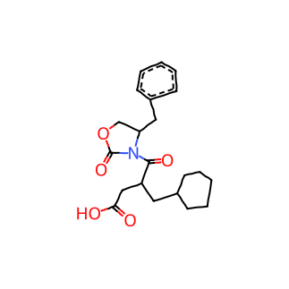 O=C(O)CC(CC1CCCCC1)C(=O)N1C(=O)OCC1Cc1ccccc1